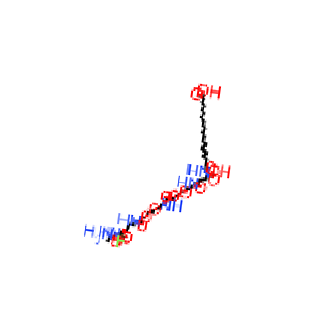 CC(N)C(=O)NC(CCCCNC(=O)COCCOCCNC(=O)COCCOCCNC(=O)CCC(NC(=O)CCCCCCCCCCCCCCCCCCC(=O)O)C(=O)O)C(=O)F